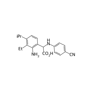 CCc1c(C(C)C)ccc(C(Nc2ccc(C#N)cc2)C(=O)O)c1N